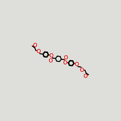 O=C(Oc1ccc(COCC2CO2)cc1)C1CCC(C(=O)Oc2ccc(OCCOCC3CO3)cc2)CC1